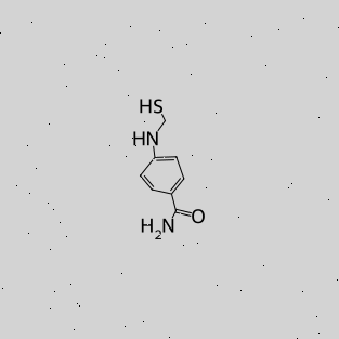 NC(=O)c1ccc(NCS)cc1